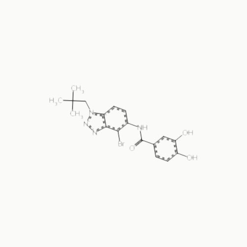 CC(C)(C)Cn1nnc2c(Br)c(NC(=O)c3ccc(O)c(O)c3)ccc21